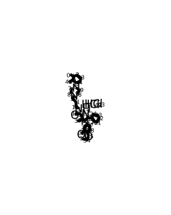 Cc1cccc(N2CCN(CCCNC(=O)c3nc(-c4ccccc4)n(-c4ccc5c(c4)OCCO5)c3C)CC2)c1C.Cl.Cl